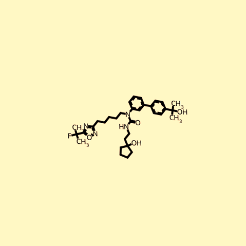 CC(C)(O)c1ccc(-c2cccc(N(CCCCCc3noc(C(C)(C)F)n3)C(=O)NCCC3(O)CCCC3)c2)cc1